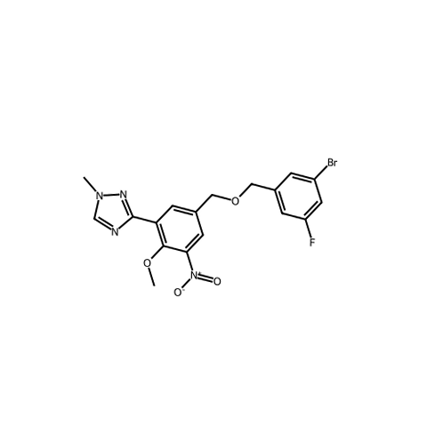 COc1c(-c2ncn(C)n2)cc(COCc2cc(F)cc(Br)c2)cc1[N+](=O)[O-]